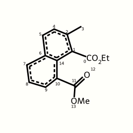 CCOC(=O)c1c(C)ccc2cccc(C(=O)OC)c12